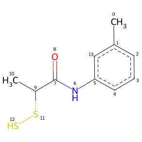 Cc1cccc(NC(=O)C(C)SS)c1